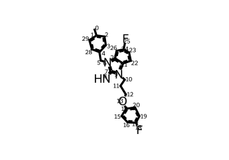 Cc1ccc(Cn2c(=N)n(CCCOc3ccc(F)cc3)c3ccc(F)cc32)cc1